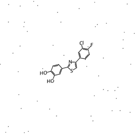 Oc1ccc(-c2nc(-c3ccc(F)c(Cl)c3)cs2)cc1O